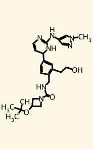 Cn1cc(NC2=NC=CC(c3ccc(CNC(=O)N4CC(OC(C)(C)C)C4)c(CCO)c3)N2)cn1